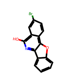 Oc1nc2c3ccccc3oc2c2ccc(Br)cc12